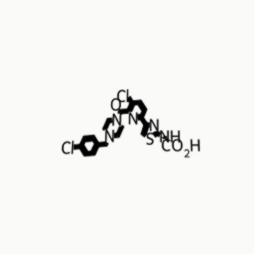 O=C(O)Nc1nc(-c2ccc(Cl)c(C(=O)N3CCN(Cc4ccc(Cl)cc4)CC3)n2)cs1